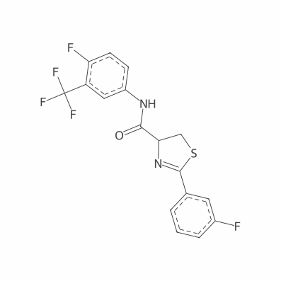 O=C(Nc1ccc(F)c(C(F)(F)F)c1)C1CSC(c2cccc(F)c2)=N1